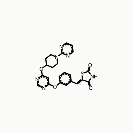 O=C1NC(=O)/C(=C/c2cccc(Oc3cc(OC4CCN(c5ncccn5)CC4)ncn3)c2)S1